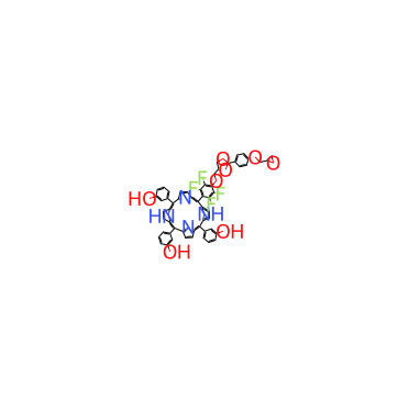 Oc1cccc(-c2c3nc(c(-c4cccc(O)c4)c4ccc([nH]4)c(-c4c(F)c(F)c(OCC5COC(c6ccc(OCC7CO7)cc6)O5)c(F)c4F)c4nc(c(-c5cccc(O)c5)c5ccc2[nH]5)C=C4)C=C3)c1